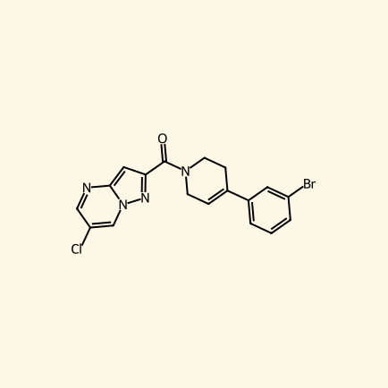 O=C(c1cc2ncc(Cl)cn2n1)N1CC=C(c2cccc(Br)c2)CC1